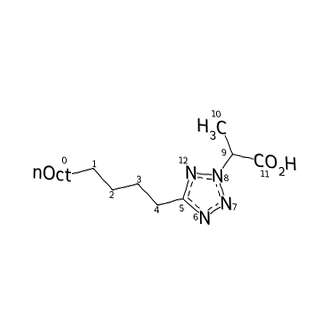 CCCCCCCCCCCCc1nnn(C(C)C(=O)O)n1